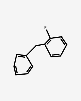 Fc1[c]cccc1Cc1ccccc1